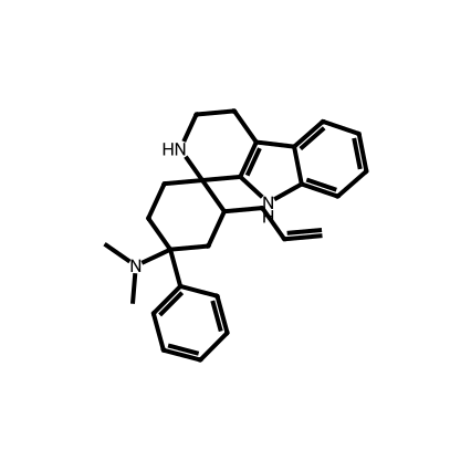 C=CCC1CC(c2ccccc2)(N(C)C)CCC12NCCc1c2[nH]c2ccccc12